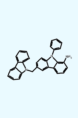 Nc1cccc2c3cc(Cn4c5ccccc5c5ccccc54)ccc3n(-c3ccccc3)c12